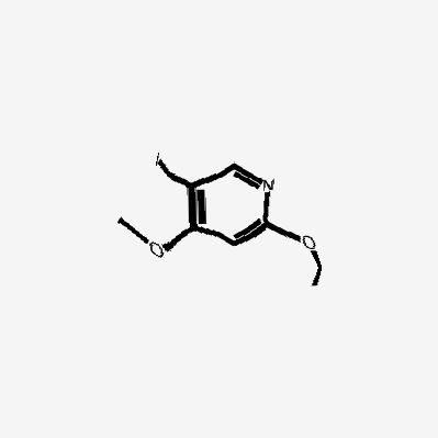 COc1cc(OC)c(I)cn1